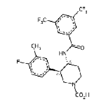 Cc1cc([C@@H]2CN(C(=O)O)CC[C@H]2NC(=O)c2cc(C(F)(F)F)cc(C(F)(F)F)c2)ccc1F